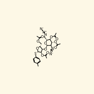 CC(=O)OC[C@H]1O[C@@H](Sc2ccc(C)cc2)[C@H](OC(C)=O)[C@@H]1O[C@H]1O[C@@H](CN=[N+]=[N-])[C@@H](OC(C)=O)[C@H](OC(C)=O)C1N=[N+]=[N-]